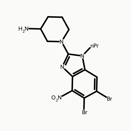 CCCn1c(N2CCCC(N)C2)nc2c([N+](=O)[O-])c(Br)c(Br)cc21